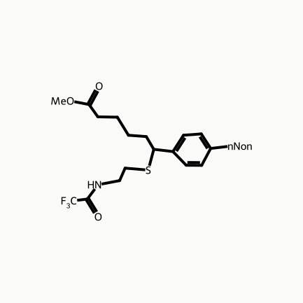 CCCCCCCCCc1ccc(C(CCCCC(=O)OC)SCCNC(=O)C(F)(F)F)cc1